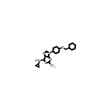 FC(F)(F)c1nc([AsH]C2CC2)c2ncn(-c3ccc(OCc4ccccc4)cc3)c2n1